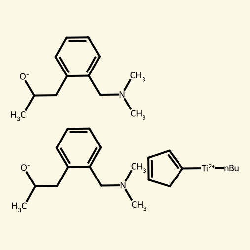 CC([O-])Cc1ccccc1CN(C)C.CC([O-])Cc1ccccc1CN(C)C.CCC[CH2][Ti+2][C]1=CC=CC1